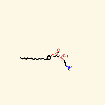 CCCCCCCCCCCCCCc1ccc(OCC(COP(O)OCCCCNCC)OC=O)cc1